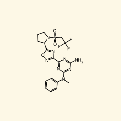 CN(c1ccccc1)c1nc(N)nc(-c2noc([C@H]3CCCN3S(=O)(=O)CC(F)(F)F)n2)n1